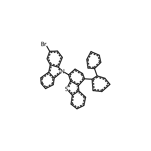 Brc1ccc2c(c1)c1ccccc1n2-c1ccc(-c2ccccc2-c2ccccc2)c2c1sc1ccccc12